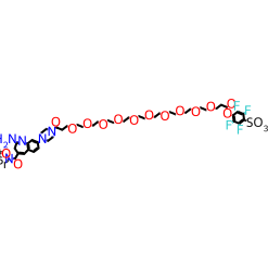 CCCN(OCC)C(=O)C1=Cc2ccc(N3CCN(C(=O)CCOCCOCCOCCOCCOCCOCCOCCOCCOCCOCCC(=O)Oc4c(F)c(F)c(S(=O)(=O)O)c(F)c4F)CC3)cc2N=C(N)C1